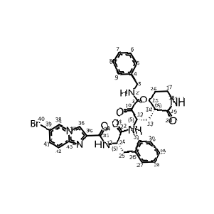 O=C(NCc1ccccc1)C(=O)[C@H](C[C@@H]1CCCNC1=O)NC(=O)[C@H](Cc1ccccc1)NC(=O)c1cn2cc(Br)ccc2n1